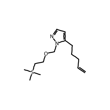 C=CCCCc1ccnn1COCCS(C)(C)C